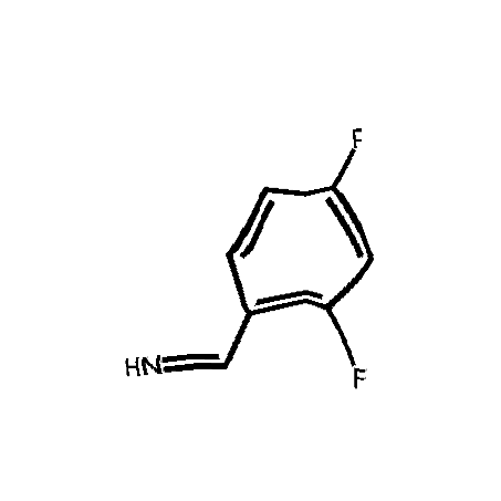 N=Cc1ccc(F)cc1F